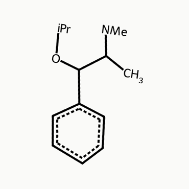 CNC(C)C(OC(C)C)c1ccccc1